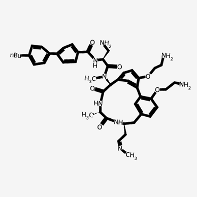 CCCCc1ccc(-c2ccc(C(=O)N[C@@H](CN)C(=O)N(C)[C@@H]3C(=O)N[C@@H](C)C(=O)N[C@H](C/C=N\C)Cc4ccc(OCCN)c(c4)-c4cc3ccc4OCCN)cc2)cc1